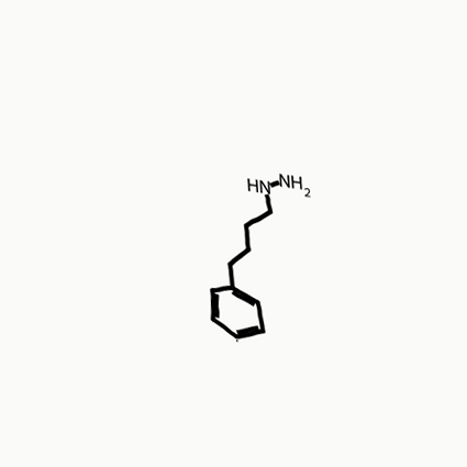 NNCCCCc1cc[c]cc1